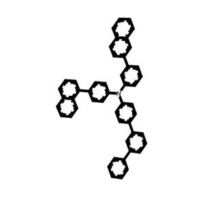 c1ccc(-c2cccc(-c3ccc(N(c4ccc(-c5cccc6ccccc56)cc4)c4cccc(-c5ccc6ccccc6c5)c4)cc3)c2)cc1